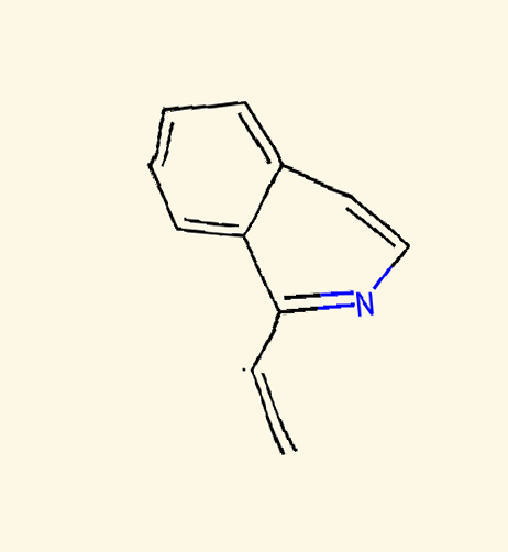 C=[C]c1nccc2ccccc12